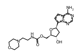 Nc1ncnn2c([C@H]3C[C@H](O)[C@@H](COC(=O)NCCN4CCOCC4)O3)ccc12